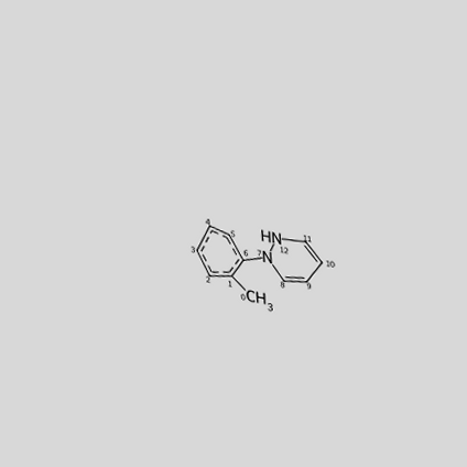 Cc1ccccc1N1C=CC=CN1